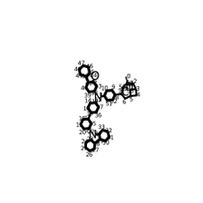 C[C@H]1CC2CC3CC(c4ccc(N(c5ccc(-c6cccc(-n7c8ccccc8c8ccccc87)c6)cc5)c5ccc6c(c5)oc5ccccc56)cc4)(C1)C[C@H]23